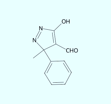 CC1(c2ccccc2)N=NC(O)=C1C=O